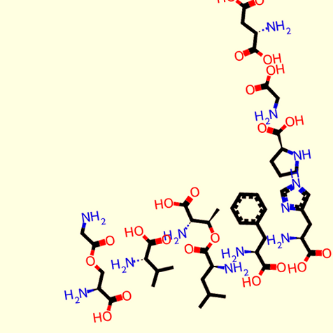 CC(C)C[C@H](N)C(=O)O[C@H](C)[C@H](N)C(=O)O.CC(C)[C@H](N)C(=O)O.NCC(=O)O.NCC(=O)OC[C@H](N)C(=O)O.N[C@@H](CC(=O)O)C(=O)O.N[C@@H](Cc1c[nH]cn1)C(=O)O.N[C@@H](Cc1ccccc1)C(=O)O.O=C(O)[C@@H]1CCCN1